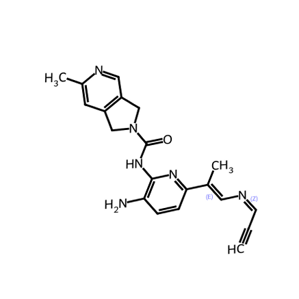 C#C/C=N\C=C(/C)c1ccc(N)c(NC(=O)N2Cc3cnc(C)cc3C2)n1